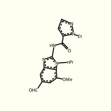 CCCn1c(NC(=O)c2ccnn2CC)nc2cc(C=O)cc(OC)c21